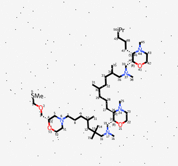 CSCOC[C@@H]1CN(CCCC(C)CC(C)(C)CN(C)C[C@H]2OCCN(C)[C@@H]2CCCC(C)CCC(C)CN(C)C[C@H]2OCCN(C)[C@H]2CCCC(C)C)CCO1